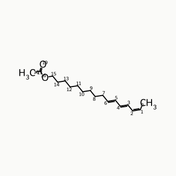 C\C=C/C=C/C=C/CCCCCCCCCOC(C)=O